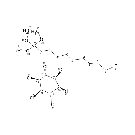 CCCCCCCCCC[Si](OC)(OC)OC.Cl[C@H]1[C@H](Cl)[C@@H](Cl)[C@@H](Cl)[C@H](Cl)[C@H]1Cl